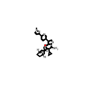 Cn1ccc(-c2ccc(-c3cnn4c(N)c(C5CC5)c(C5C[C@H]6CC[C@@H](C5)N6C(=O)CO)nc34)cn2)n1